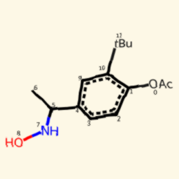 CC(=O)Oc1ccc(C(C)NO)cc1C(C)(C)C